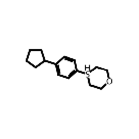 c1cc([SH]2CCOCC2)ccc1C1CCCC1